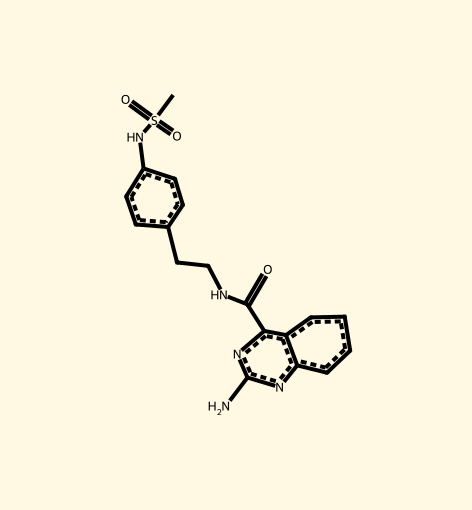 CS(=O)(=O)Nc1ccc(CCNC(=O)c2nc(N)nc3ccccc23)cc1